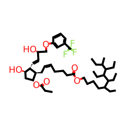 CCC(=O)O[C@H]1C[C@@H](O)[C@H](/C=C/[C@@H](O)COc2cccc(C(F)(F)F)c2)[C@H]1C/C=C\CCCC(=O)OCCCCC(CC)C(CC)C(CC)C(CC)C(C)CC